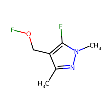 Cc1nn(C)c(F)c1COF